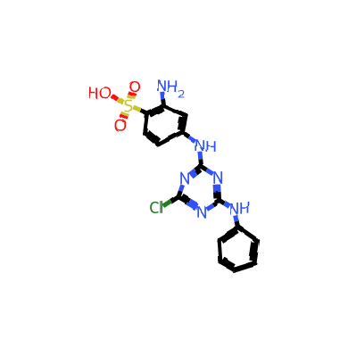 Nc1cc(Nc2nc(Cl)nc(Nc3ccccc3)n2)ccc1S(=O)(=O)O